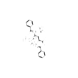 C[C@@H](OC(=O)c1ccccc1)[C@@H](O[Si](C)(C)C)[C@H](O[Si](C)(C)C)[C@@H](C)OC(=O)c1ccccc1